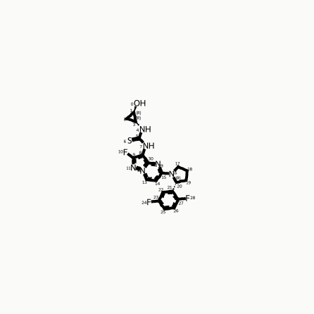 O[C@@H]1C[C@H]1NC(=S)Nc1c(F)nn2ccc(N3CCC[C@@H]3c3cc(F)ccc3F)nc12